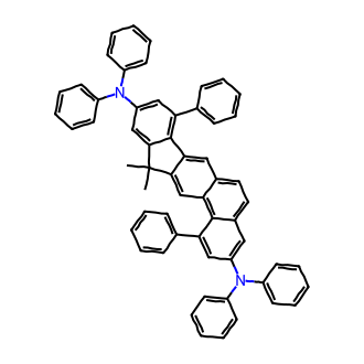 CC1(C)c2cc3c(ccc4cc(N(c5ccccc5)c5ccccc5)cc(-c5ccccc5)c43)cc2-c2c(-c3ccccc3)cc(N(c3ccccc3)c3ccccc3)cc21